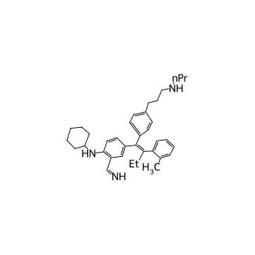 CCCNCCCc1ccc(/C(=C(/CC)c2ccccc2C)c2ccc(NC3CCCCC3)c(C=N)c2)cc1